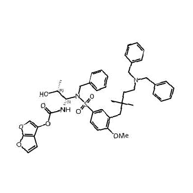 COc1ccc(S(=O)(=O)N(Cc2ccccc2)[C@H](NC(=O)Oc2coc3occc23)[C@@H](C)O)cc1CC(C)(C)CCN(Cc1ccccc1)Cc1ccccc1